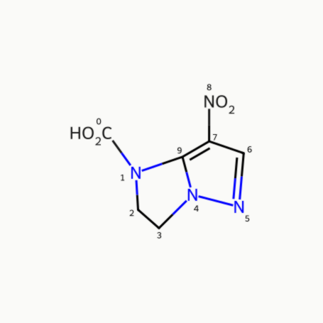 O=C(O)N1CCn2ncc([N+](=O)[O-])c21